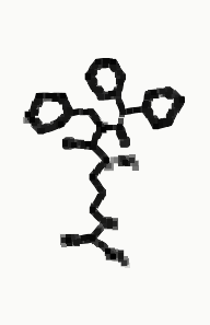 N=C(N)NCCC[C@@H](N)C(=O)N(Cc1ccncc1)C(=O)C(c1ccccc1)c1ccccc1